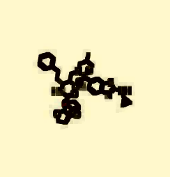 CC(C)CN(C[C@@H](O)[C@H](CCc1ccccc1)NC(=O)OC1C2COC3OCC1C3O2)S(=O)(=O)c1ccc2nc(NC3CC3)sc2c1